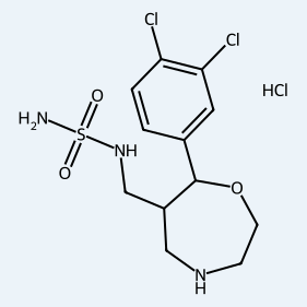 Cl.NS(=O)(=O)NCC1CNCCOC1c1ccc(Cl)c(Cl)c1